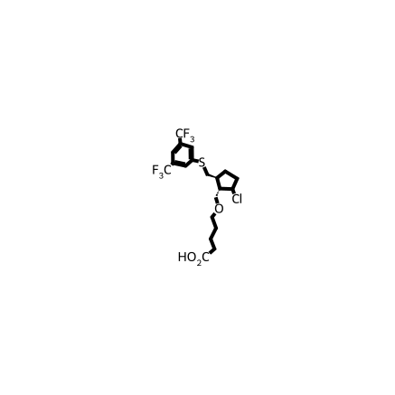 O=C(O)CCCCOC[C@H]1C(Cl)CC[C@@H]1CSc1cc(C(F)(F)F)cc(C(F)(F)F)c1